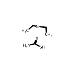 C[CH2][Ni][CH2]C.NC(=S)S